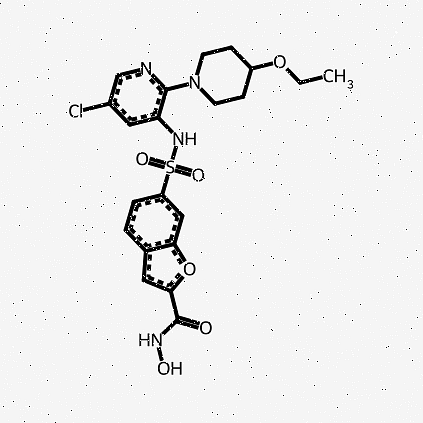 CCOC1CCN(c2ncc(Cl)cc2NS(=O)(=O)c2ccc3cc(C(=O)NO)oc3c2)CC1